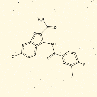 NC(=O)c1oc2cc(Cl)ccc2c1NC(=O)c1ccc(F)c(Cl)c1